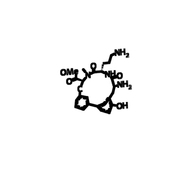 COC(=O)[C@@H]1Cc2cccc(c2)-c2ccc(O)c(c2)C[C@H](N)C(=O)N[C@@H](CCCN)C(=O)N1C